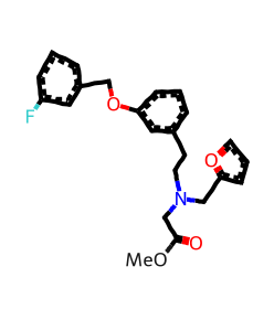 COC(=O)CN(CCc1cccc(OCc2cccc(F)c2)c1)Cc1ccco1